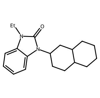 CCn1c(=O)n(C2CCC3CCCCC3C2)c2ccccc21